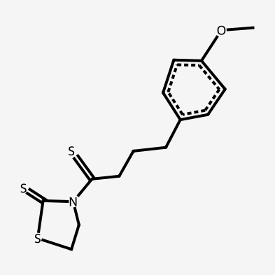 COc1ccc(CCCC(=S)N2CCSC2=S)cc1